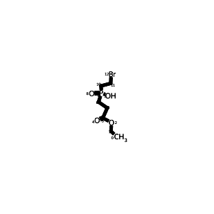 CCOC(=O)CCP(=O)(O)CCBr